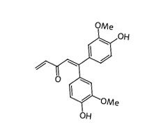 C=CC(=O)C=C(c1ccc(O)c(OC)c1)c1ccc(O)c(OC)c1